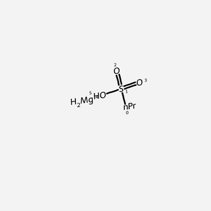 CCCS(=O)(=O)O.[MgH2]